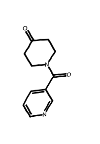 O=C1CCN(C(=O)c2cccnc2)CC1